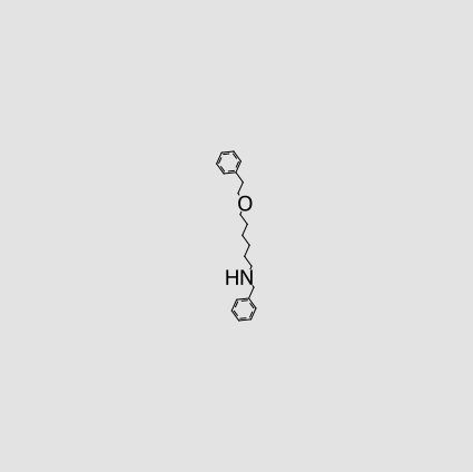 c1ccc(CCOCCCCCCNCc2ccccc2)cc1